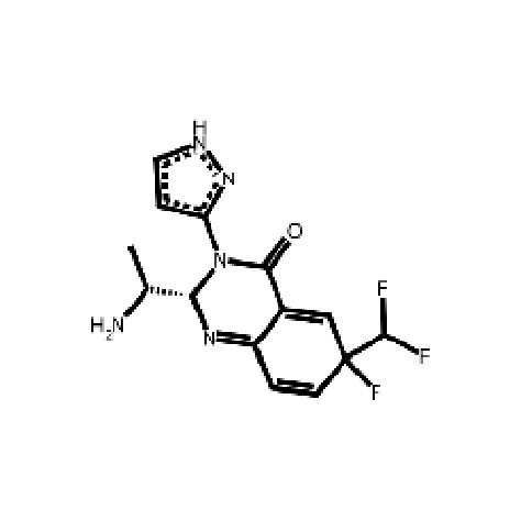 CC(N)[C@H]1N=C2C=CC(F)(C(F)F)C=C2C(=O)N1c1cc[nH]n1